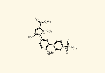 COC(=O)c1cc(C)c(-c2ccc(OC)c(-c3ccc(S(N)(=O)=O)cc3)c2)n1C